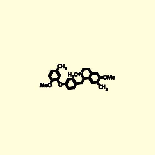 COc1ccc(C)cc1Oc1ccc(CC2C3=CC(C)C(OC)C=C3CCN2C)cc1